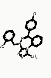 Cc1nnc2n1-c1ccccc1C(c1ccc(Cl)cc1)=NN2Cc1ccccc1C#N